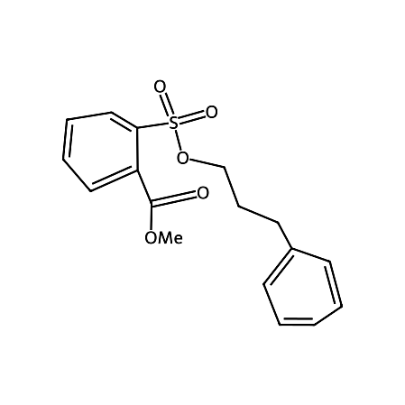 COC(=O)c1ccccc1S(=O)(=O)OCCCc1ccccc1